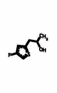 CC(O)Cc1cc(F)cs1